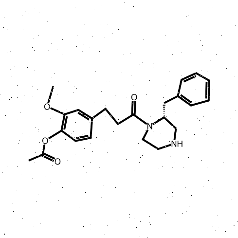 COc1cc(CCC(=O)N2CCNC[C@H]2Cc2ccccc2)ccc1OC(C)=O